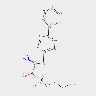 CCCC[Si](C)(C)C(O)[C@@H](N)Cc1ccc(-c2ccccc2)cc1